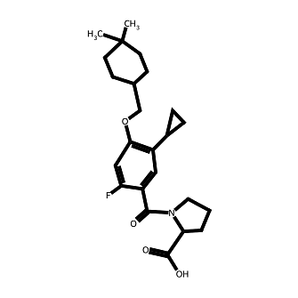 CC1(C)CCC(COc2cc(F)c(C(=O)N3CCCC3C(=O)O)cc2C2CC2)CC1